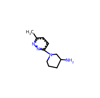 Cc1ccc(N2CCCC(N)C2)nn1